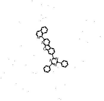 c1ccc(-c2nc(-c3ccccc3)nc(-c3ccc4c(c3)oc3nc(-c5nccc6ccccc56)ccc34)n2)cc1